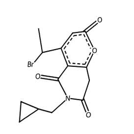 CC(Br)c1cc(=O)oc2c1C(=O)N(CC1CC1)C(=O)C2